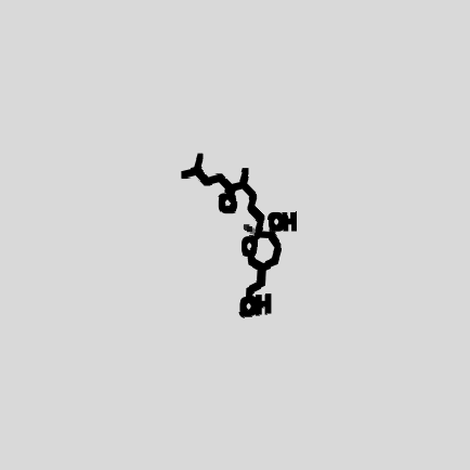 CC(C)CCC(=O)C(C)CC=C[C@]1(C)OCC(=CCO)CC[C@H]1O